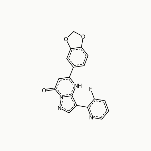 O=c1cc(-c2ccc3c(c2)OCO3)[nH]c2c(-c3ncccc3F)cnn12